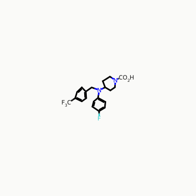 O=C(O)N1CCC(N(Cc2ccc(C(F)(F)F)cc2)c2ccc(F)cc2)CC1